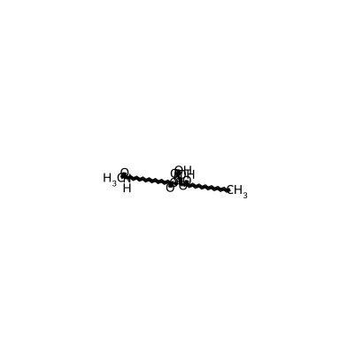 CCCCCCCCCCCCCCC(=O)O[C@H](COC(=O)CCCCCCCCCCCCCNC(C)=O)COP(=O)(O)O